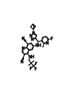 Cc1nc(F)ccc1C(Nc1cc(C#N)c2ncc(C#N)c(NCC(C)(C)C(F)(F)F)c2c1)c1cn(C23CC(C2)C3)nn1